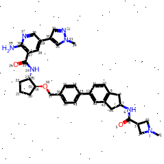 CN1CC(C(=O)NC2Cc3ccc(-c4ccc(CO[C@H]5CCC[C@@H]5NC(=O)c5cc(-c6cnn(C)c6)cnc5N)cc4)cc3C2)C1